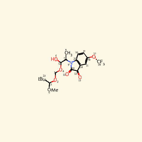 COC(OCOC(O)C(C)N1C(=O)C(=O)c2cc(OC(F)(F)F)ccc21)C(C)(C)C